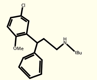 COc1ccc(Cl)cc1C(CCNC(C)(C)C)c1ccccc1